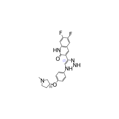 CN1CC[C@H](Oc2ccc(N/C=C(\N=N)c3cc4cc(F)c(F)cc4[nH]c3=O)cc2)C1